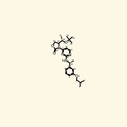 CC(C)COc1cccc([C@H](C)Nc2nccc(N3C(=O)OCC3[C@@H](C)OC(C)(C)C)n2)c1